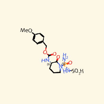 COc1ccc(COC(=O)N[C@H]2CCCN([P@](N)(=O)NS(=O)(=O)O)C2=O)cc1